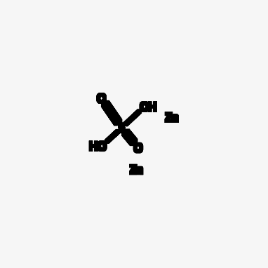 O=S(=O)(O)O.[Zn].[Zn]